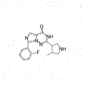 CC1CNCC1c1nn2c(-c3ccccc3F)ncc2c(=O)[nH]1